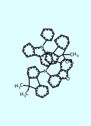 CC1(C)c2ccccc2-c2ccc(N(c3cccc4c3-c3ccccc3C4(C)C)c3cccc4oc5cccc(-c6ccc7c8ccccc8n(-c8ccccc8)c7c6)c5c34)cc21